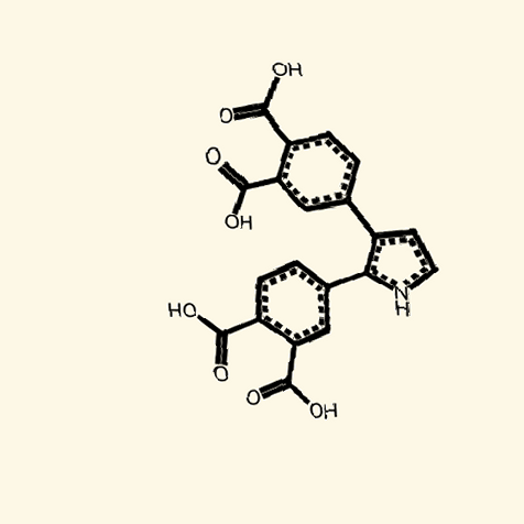 O=C(O)c1ccc(-c2cc[nH]c2-c2ccc(C(=O)O)c(C(=O)O)c2)cc1C(=O)O